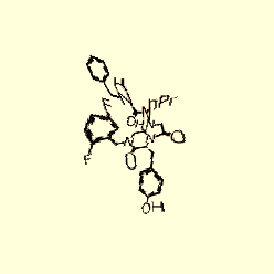 CCCN(C(=O)NCc1ccccc1)N1CC(=O)N2[C@@H](Cc3ccc(O)cc3)C(=O)N(Cc3cc(F)ccc3F)C[C@@H]21